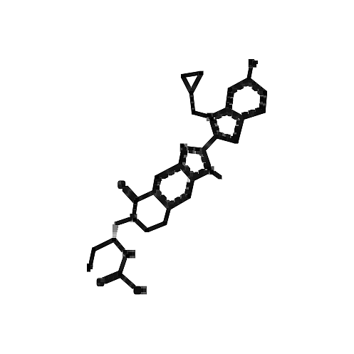 Cn1c(-c2cc3ccc(Br)cc3n2CC2CC2)nc2cc3c(cc21)CCN(C[C@@H](CF)NC(=O)O)C3=O